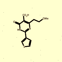 COCCc1nc(-c2ccsc2)[nH]c(=O)c1C(=O)O